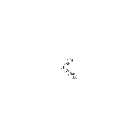 [Ba].[Bi].[Nb].[Ta].[Ti].[Zn]